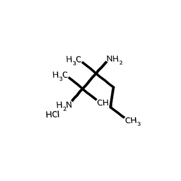 CCCC(C)(N)C(C)(C)N.Cl